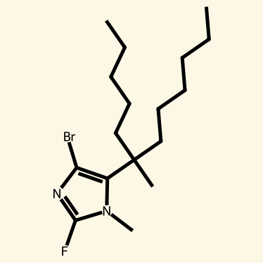 CCCCCCC(C)(CCCCC)c1c(Br)nc(F)n1C